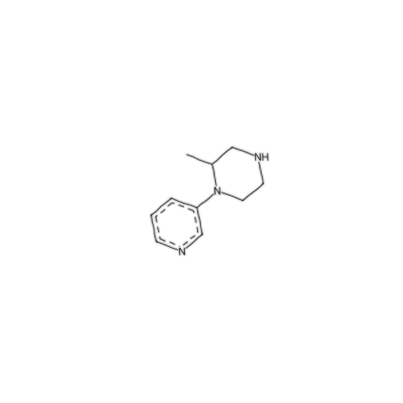 CC1CNCCN1c1cccnc1